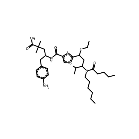 CCCCCCN(C(=O)CCCC)C(CC(OCC)c1nc(C(=O)NC(Cc2ccc(N)cc2)CC(C)(C)C(=O)O)cs1)C(C)C